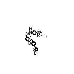 CS(=O)(=O)N1CCC(Nc2ncc3ccc(=O)n(Cc4ccc(-c5ccc(Br)o5)cc4)c3n2)CC1